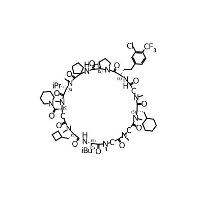 CC[C@H](C)[C@@H]1NC(=O)[C@H](CC2CCC2)N(C)C(=O)C[C@@H](C(=O)N2CCCCC2)N(C)C(=O)[C@H](C(C)C)N(C)C(=O)C2(CCCC2)NC(=O)[C@@H]2CCCN2C(=O)[C@H](CCc2ccc(C(F)(F)F)c(Cl)c2)NC(=O)CN(C)C(=O)[C@H](CC2CCCCC2)N(C)C(=O)CN(C)C(=O)CN(C)C1=O